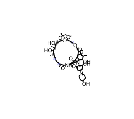 CO[C@H]1/C=C/O[C@@]2(C)Oc3c(C)c(O)c4c(=O)c(c5oc6cc(N7CCC(O)CC7)cc(O)c6nc-5c4c3C2=O)NC(=O)/C(C)=C\C=C\[C@H](C)[C@H](O)[C@@H](C)[C@@H](O)[C@@H](C)[C@H](OC(C)=O)C1